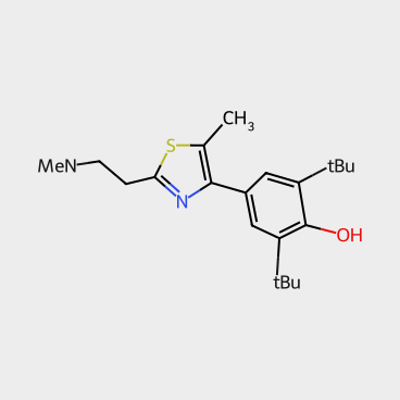 CNCCc1nc(-c2cc(C(C)(C)C)c(O)c(C(C)(C)C)c2)c(C)s1